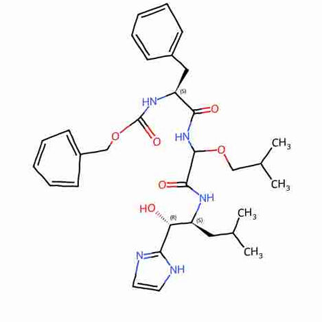 CC(C)COC(NC(=O)[C@H](Cc1ccccc1)NC(=O)OCc1ccccc1)C(=O)N[C@@H](CC(C)C)[C@@H](O)c1ncc[nH]1